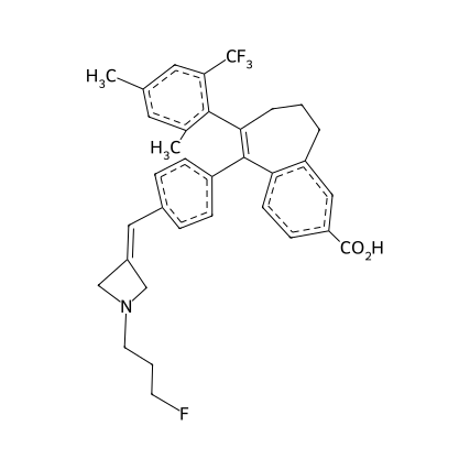 Cc1cc(C)c(C2=C(c3ccc(C=C4CN(CCCF)C4)cc3)c3ccc(C(=O)O)cc3CCC2)c(C(F)(F)F)c1